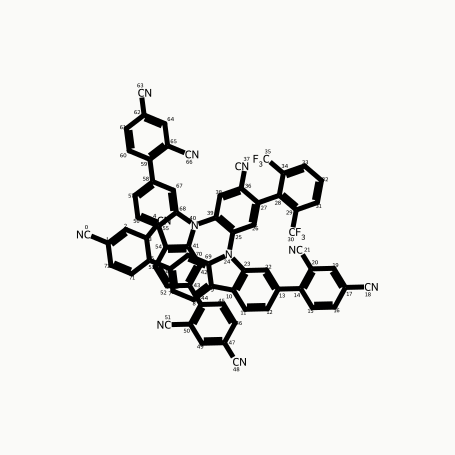 N#CC1=CC(C#N)C(c2ccc3c4ccc(-c5ccc(C#N)cc5C#N)cc4n(-c4cc(-c5c(C(F)(F)F)cccc5C(F)(F)F)c(C#N)cc4-n4c5cc(-c6ccc(C#N)cc6C#N)ccc5c5ccc(-c6ccc(C#N)cc6C#N)cc54)c3c2)C=C1